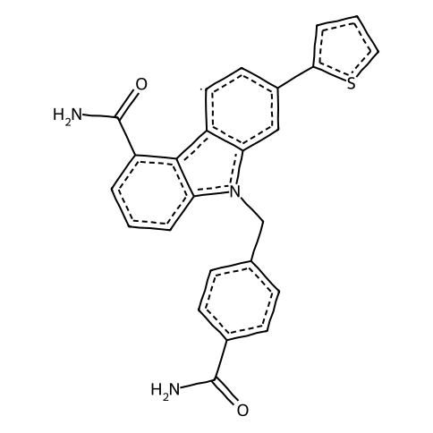 NC(=O)c1ccc(Cn2c3cc(-c4cccs4)c[c]c3c3c(C(N)=O)cccc32)cc1